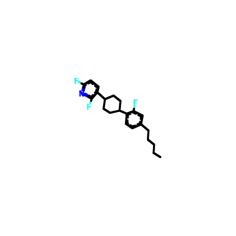 CCCCCc1ccc(C2CCC(c3ccc(F)nc3F)CC2)c(F)c1